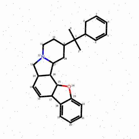 CC(C)(C1C=CC=CC1)C1CCN2CC3C=CC4c5ccccc5OC4C3C2C1